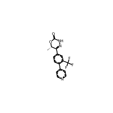 C[C@@H]1OC(=O)NN=C1c1ccc(-c2ccncc2)c(C(F)(F)F)c1